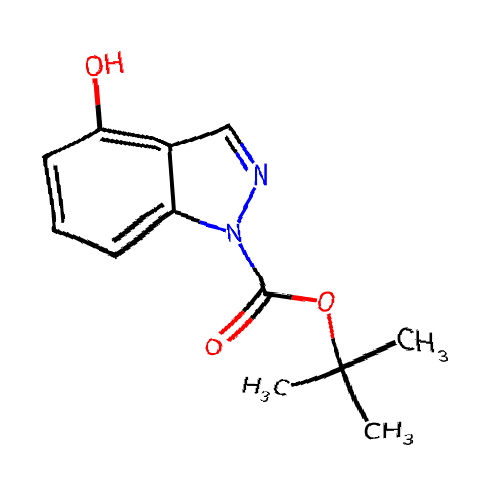 CC(C)(C)OC(=O)n1ncc2c(O)cccc21